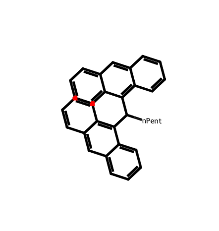 CCCCCC(c1c2ccccc2cc2ccccc12)c1c2ccccc2cc2ccccc12